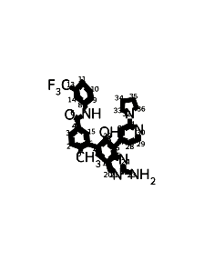 Cc1ccc(C(=O)Nc2cccc(C(F)(F)F)c2)cc1-c1cc2cnc(N)nc2c(-c2ccnc(N3CCCC3)c2)c1O